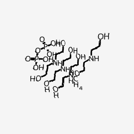 C.O=P(O)(O)OP(=O)(O)O.OCCNCCO.OCCNCCO.OCCNCCO.OCCNCCO